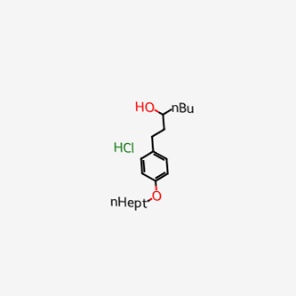 CCCCCCCOc1ccc(CCC(O)CCCC)cc1.Cl